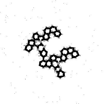 c1cc(-c2ccc3nc(-n4c5ccccc5c5c6ccc7ccc8ccccc8c7c6ccc54)c(-c4cccc5ccccc45)nc3c2)c2ccc(-c3nc4ccccc4nc3-n3c4ccccc4c4c5ccc6ccc7ccccc7c6c5ccc43)cc2c1